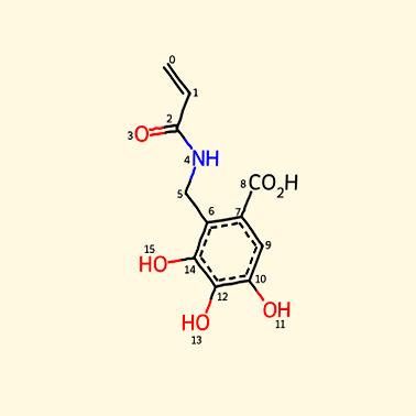 C=CC(=O)NCc1c(C(=O)O)cc(O)c(O)c1O